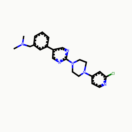 CN(C)Cc1cccc(-c2cnc(N3CCN(c4ccnc(Cl)c4)CC3)nc2)c1